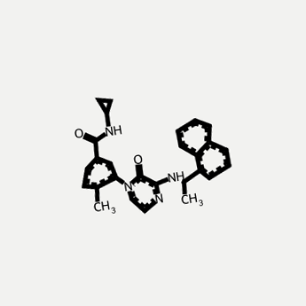 Cc1ccc(C(=O)NC2CC2)cc1-n1ccnc(NC(C)c2cccc3ccccc23)c1=O